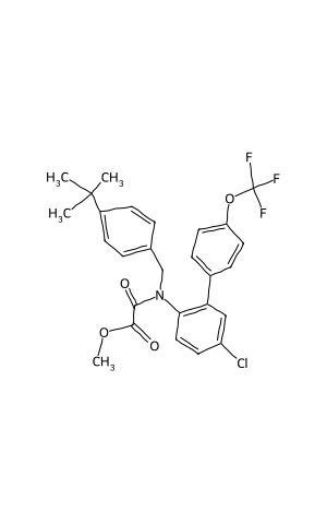 COC(=O)C(=O)N(Cc1ccc(C(C)(C)C)cc1)c1ccc(Cl)cc1-c1ccc(OC(F)(F)F)cc1